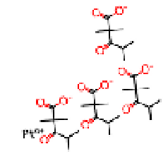 CC(C)C(=O)C(C)(C)C(=O)[O-].CC(C)C(=O)C(C)(C)C(=O)[O-].CC(C)C(=O)C(C)(C)C(=O)[O-].CC(C)C(=O)C(C)(C)C(=O)[O-].[Pt+4]